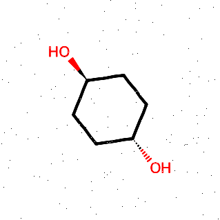 O[C@H]1CC[C@H](O)CC1